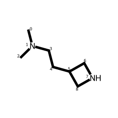 CN(C)CCC1CNC1